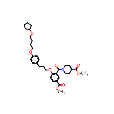 COC(=O)c1ccc(OCCCc2ccc(OCCCCOC3CCCC3)cc2)c(C(=O)N2CCC(C(=O)OC)CC2)c1